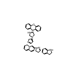 C1=CCN2C=CC=CC2=C1.C1=CCN=C1.C1=NNCC1.C1CNCN1.c1ccc2c(c1)CCN2.c1ccc2c(c1)Nc1ccccc1O2